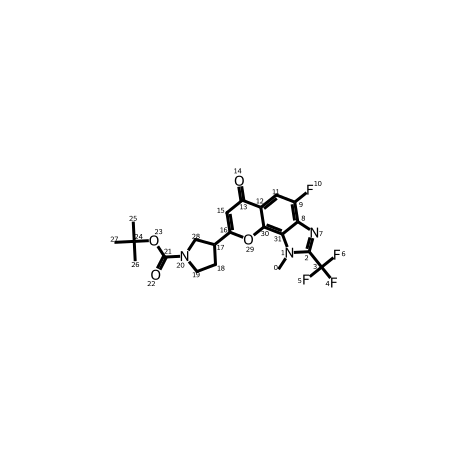 Cn1c(C(F)(F)F)nc2c(F)cc3c(=O)cc(C4CCN(C(=O)OC(C)(C)C)C4)oc3c21